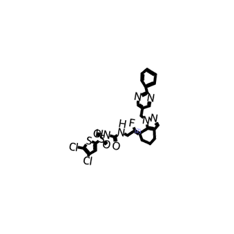 O=C(NC/C(F)=C1\CCCc2cnn(Cc3cnc(-c4ccccc4)nc3)c21)NS(=O)(=O)c1cc(Cl)c(Cl)s1